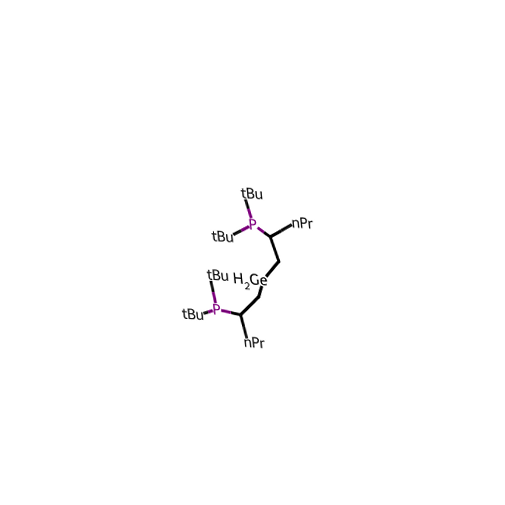 CCCC([CH2][GeH2][CH2]C(CCC)P(C(C)(C)C)C(C)(C)C)P(C(C)(C)C)C(C)(C)C